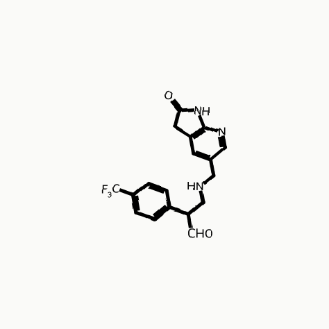 O=CC(CNCc1cnc2c(c1)CC(=O)N2)c1ccc(C(F)(F)F)cc1